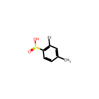 CCc1cc(C)ccc1S(=O)O